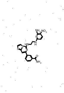 NC(=O)c1cccc(-c2cc3nccn3c(NCCNc3ccc([N+](=O)[O-])c(N)n3)n2)c1